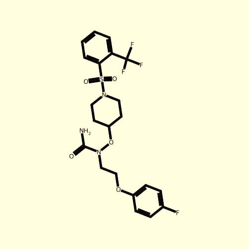 NC(=O)N(CCOc1ccc(F)cc1)OC1CCN(S(=O)(=O)c2ccccc2C(F)(F)F)CC1